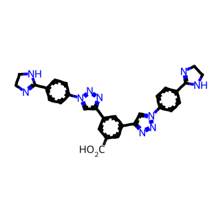 O=C(O)c1cc(-c2cn(-c3ccc(C4=NCCN4)cc3)nn2)cc(-c2cn(-c3ccc(C4=NCCN4)cc3)nn2)c1